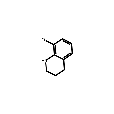 CCc1cccc2c1NCCC2